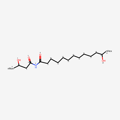 CCCCCCCCCC(O)CC(=O)NC(=O)CCCCCCCCCCC(O)CCCCCC